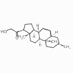 C[C@H]1CC[C@@]2(C)[C@@H](CC[C@@H]3[C@@H]2CC[C@]2(C)[C@@H](C(=O)CO)CC[C@@H]32)C1